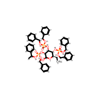 CC(=O)OC[C@H]1OC(O)[C@@H](OP(=O)(OCc2ccccc2)OC(C)c2ccccc2)[C@@H](OP(=O)(OCc2ccccc2)OCc2ccccc2)[C@@H]1OP(=O)(OCc1ccccc1)OCc1ccccc1